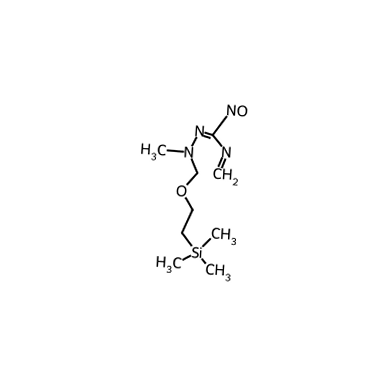 C=N/C(N=O)=N\N(C)COCC[Si](C)(C)C